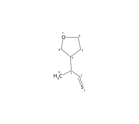 CC(C=S)C1CCOC1